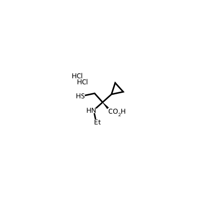 CCN[C@@](CS)(C(=O)O)C1CC1.Cl.Cl